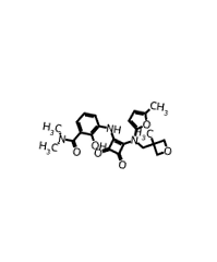 Cc1ccc(N(CC2(C)COC2)c2c(Nc3cccc(C(=O)N(C)C)c3O)c(=O)c2=O)o1